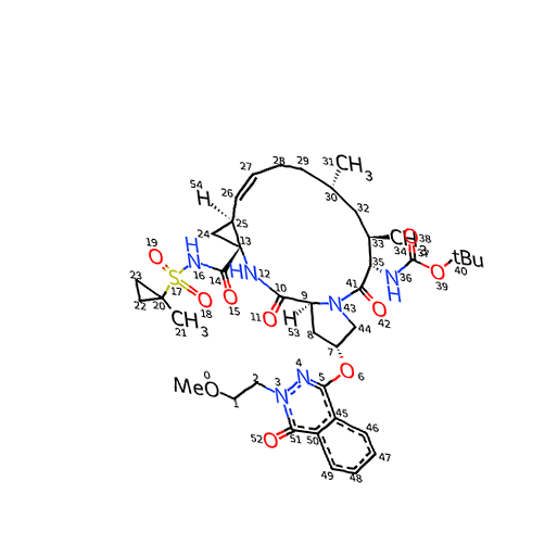 COCCn1nc(O[C@@H]2C[C@H]3C(=O)N[C@]4(C(=O)NS(=O)(=O)C5(C)CC5)C[C@H]4/C=C\CC[C@H](C)C[C@@H](C)[C@H](NC(=O)OC(C)(C)C)C(=O)N3C2)c2ccccc2c1=O